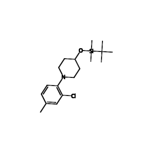 Cc1ccc(N2CCC(O[Si](C)(C)C(C)(C)C)CC2)c(Cl)c1